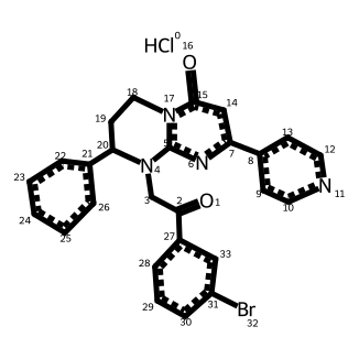 Cl.O=C(CN1c2nc(-c3ccncc3)cc(=O)n2CCC1c1ccccc1)c1cccc(Br)c1